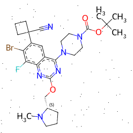 CN1CCC[C@H]1COc1nc(N2CCN(C(=O)OC(C)(C)C)CC2)c2cc(C3(C#N)CCC3)c(Br)c(F)c2n1